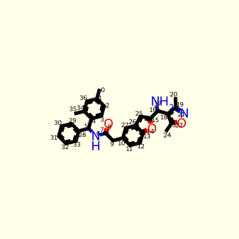 Cc1ccc(C(NC(=O)Cc2ccc3oc(C(N)c4c(C)noc4C)cc3c2)c2ccccc2)c(C)c1